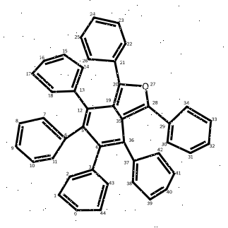 c1ccc(-c2c(-c3ccccc3)c(-c3ccccc3)c3c(-c4ccccc4)oc(-c4ccccc4)c3c2-c2ccccc2)cc1